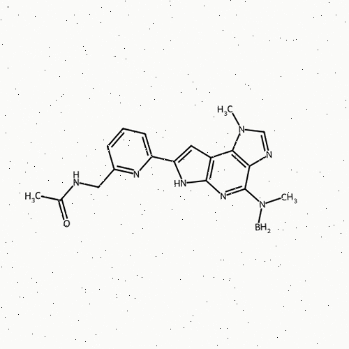 BN(C)c1nc2[nH]c(-c3cccc(CNC(C)=O)n3)cc2c2c1ncn2C